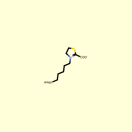 CCCCCCCCCCCC[N+]1=C(C(=O)[O-])SCC1